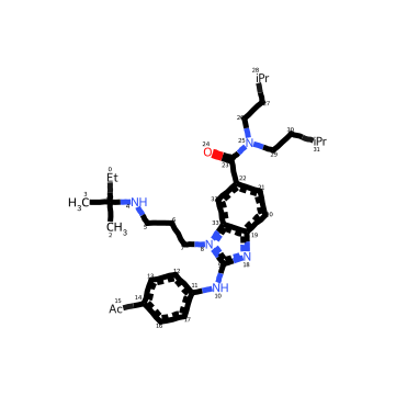 CCC(C)(C)NCCCn1c(Nc2ccc(C(C)=O)cc2)nc2ccc(C(=O)N(CCC(C)C)CCC(C)C)cc21